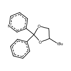 CC(C)(C)C1COC(c2ccccc2)(c2cccnc2)O1